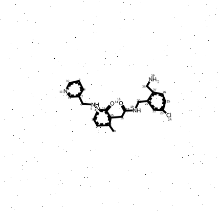 Cc1ccn(NCc2cccnc2)c(=O)c1CC(=O)NCc1cc(Cl)ccc1CN